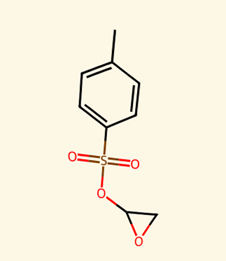 Cc1ccc(S(=O)(=O)OC2CO2)cc1